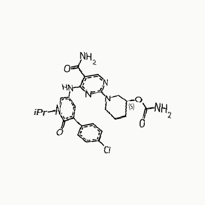 CC(C)n1cc(Nc2nc(N3CCC[C@H](OC(N)=O)C3)ncc2C(N)=O)cc(-c2ccc(Cl)cc2)c1=O